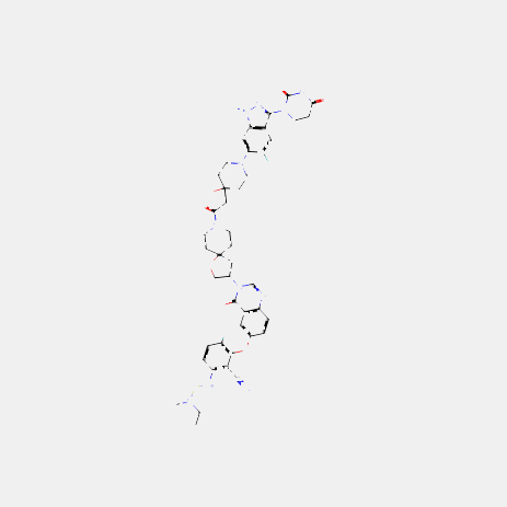 CCN(C)SNc1ccc(F)c(Oc2ccc3ncn(C4COC5(CCN(C(=O)CC6(O)CCN(c7cc8c(cc7F)c(N7CCC(=O)NC7=O)nn8C)CC6)CC5)C4)c(=O)c3c2)c1C#N